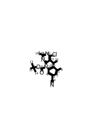 Cc1cc(C#N)cc(N(C(=O)OC(C)(C)C)c2nc(I)nc(Cl)c2C(C)C)c1